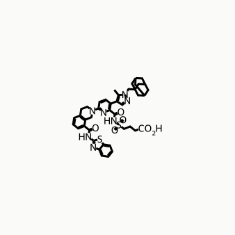 Cc1c(-c2ccc(N3CCc4cccc(C(=O)Nc5nc6ccccc6s5)c4C3)nc2C(=O)NS(=O)(=O)CCCC(=O)O)cnn1CC12CC3CC(CC(C3)C1)C2